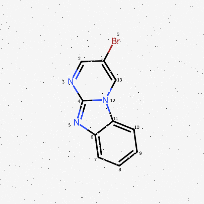 Brc1cnc2nc3ccccc3n2c1